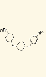 CCCc1ccc(C[C@H]2CC[C@H](CC3CCC(CCC)CC3)CC2)cc1